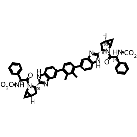 Cc1c(-c2ccc3[nH]c([C@@H]4C[C@H]5CC5N4C(=O)[C@H](NC(=O)O)c4ccccc4)nc3c2)ccc(-c2ccc3[nH]c([C@@H]4C[C@H]5CC5N4C(=O)[C@H](NC(=O)O)c4ccccc4)nc3c2)c1C